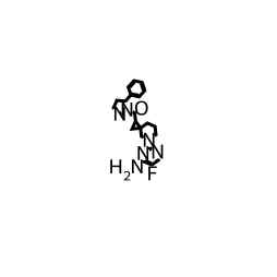 Nc1nc(N2CCCC3(CC3C(=O)N3N=CCC3c3ccccc3)C2)ncc1F